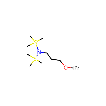 CC(C)OCCCN(S(C)(C)C)S(C)(C)C